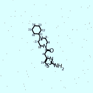 Nc1nc(CC(=O)N2CCN(C3CCCCC3)CC2)cs1